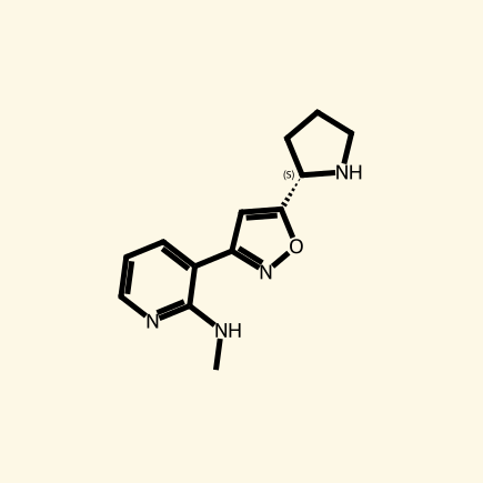 CNc1ncccc1-c1cc([C@@H]2CCCN2)on1